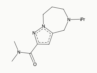 CC(C)N1CCCn2nc(C(=O)N(C)C)cc2C1